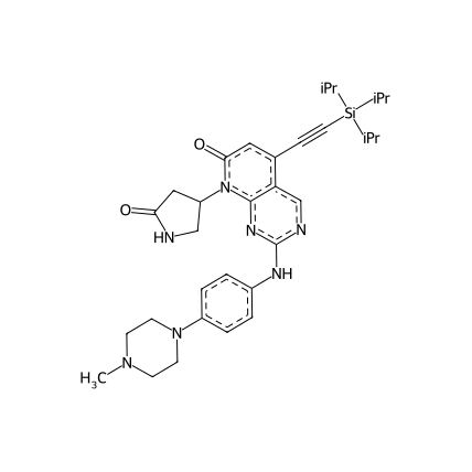 CC(C)[Si](C#Cc1cc(=O)n(C2CNC(=O)C2)c2nc(Nc3ccc(N4CCN(C)CC4)cc3)ncc12)(C(C)C)C(C)C